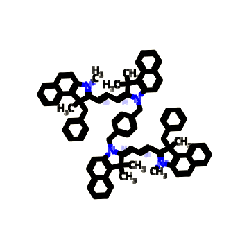 C[N+]1=C(/C=C/C=C2/N(Cc3ccc(CN4/C(=C/C=C/C5=[N+](C)c6ccc7ccccc7c6C5(C)Cc5ccccc5)C(C)(C)c5c4ccc4ccccc54)cc3)c3ccc4ccccc4c3C2(C)C)C(C)(Cc2ccccc2)c2c1ccc1ccccc21